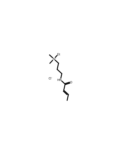 CC=CC(=O)NCCC[N+](C)(C)CC.[Cl-]